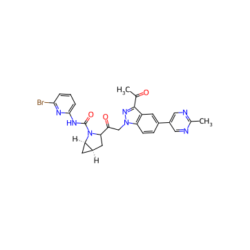 CC(=O)c1nn(CC(=O)C2C[C@H]3C[C@H]3N2C(=O)Nc2cccc(Br)n2)c2ccc(-c3cnc(C)nc3)cc12